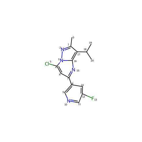 Cc1nn2c(Cl)cc(-c3cncc(F)c3)nc2c1C(C)C